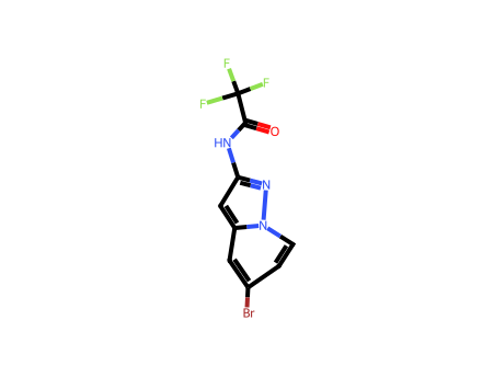 O=C(Nc1cc2cc(Br)ccn2n1)C(F)(F)F